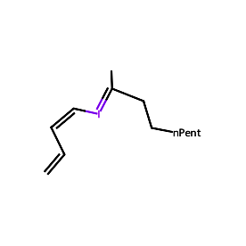 C=C/C=C\I=C(/C)CCCCCCC